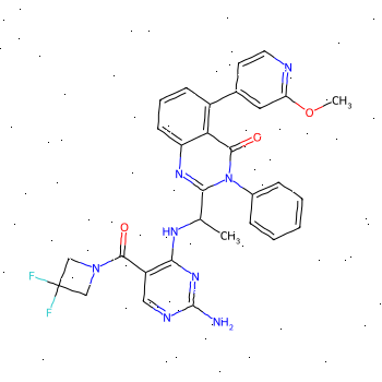 COc1cc(-c2cccc3nc(C(C)Nc4nc(N)ncc4C(=O)N4CC(F)(F)C4)n(-c4ccccc4)c(=O)c23)ccn1